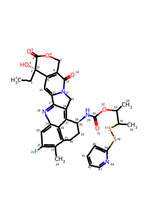 CC[C@@]1(O)C(=O)OCc2c1cc1n(c2=O)Cc2c-1nc1cc(F)c(C)c3c1c2[C@@H](NC(=O)OC(C)C(C)SSc1ccccn1)CC3